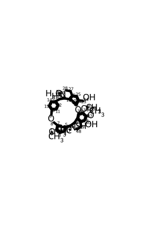 COc1ccc2cc1COc1ccc(cc1)CC1(S)c3cc(c(CO)cc3CCN1C)Oc1c(OC)c(OC)c(O)c3c1C(S)(C2)N(C)CC3